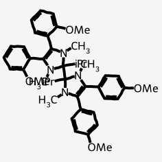 COc1ccc(C2=C(c3ccc(OC)cc3)N(C)C(C(C)C)(C3(C(C)C)N(C)C(c4ccccc4OC)=C(c4ccccc4OC)N3C)N2C)cc1